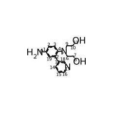 Nc1ccc(N(CCO)CCO)c(-c2cccnc2)c1